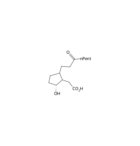 CCCCCC(=O)CCC1CC[C@@H](O)C1CC(=O)O